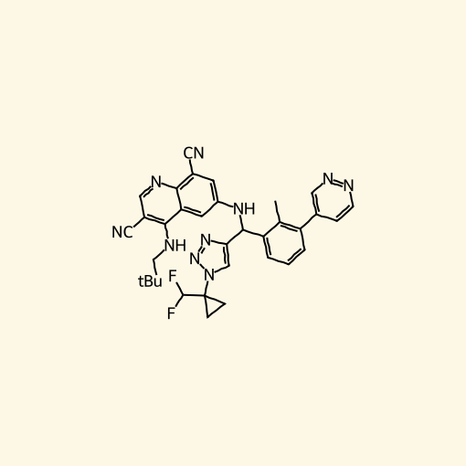 Cc1c(-c2ccnnc2)cccc1C(Nc1cc(C#N)c2ncc(C#N)c(NCC(C)(C)C)c2c1)c1cn(C2(C(F)F)CC2)nn1